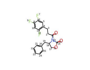 O=C(CCc1cc(F)c(F)cc1F)N1C(=O)OCC1Cc1ccccc1